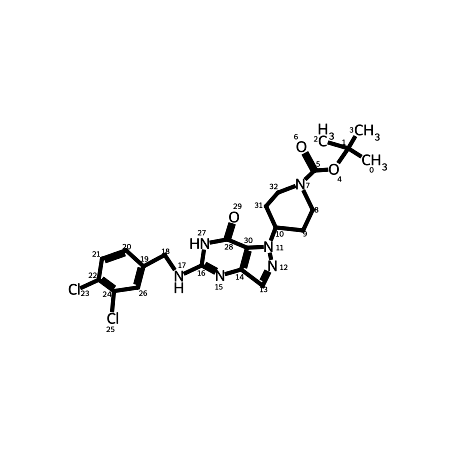 CC(C)(C)OC(=O)N1CCC(n2ncc3nc(NCc4ccc(Cl)c(Cl)c4)[nH]c(=O)c32)CC1